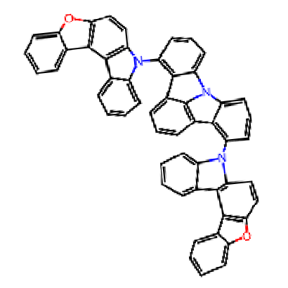 c1ccc2c(c1)oc1ccc3c(c4ccccc4n3-c3cccc4c3c3cccc5c6c(-n7c8ccccc8c8c9c(ccc87)oc7ccccc79)cccc6n4c35)c12